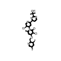 CCc1cnc(-c2ccnc(C(C)(C)O)n2)cc1-n1c(C)cc(OCc2ncc(F)cc2F)c(Cl)c1=O